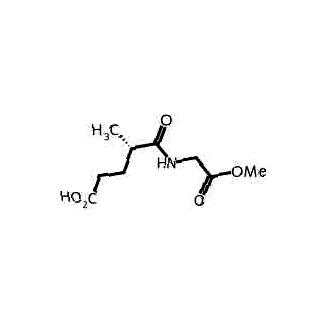 COC(=O)CNC(=O)[C@@H](C)CCC(=O)O